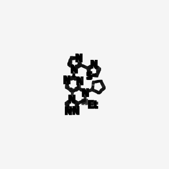 CC[C@@H]1c2nncn2-c2cnc(-n3ccnc3-c3nccs3)nc2N1C1CCCC1